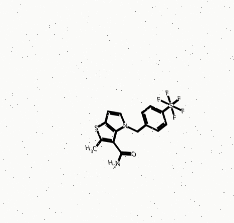 Cc1sc2ccn(Cc3ccc(S(F)(F)(F)(F)F)cc3)c2c1C(N)=O